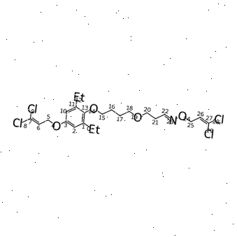 CCc1cc(OCC=C(Cl)Cl)cc(CC)c1OCCCCOCCC=NOCC=C(Cl)Cl